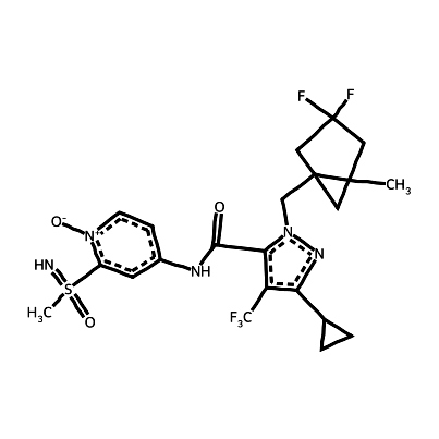 CC12CC(F)(F)CC1(Cn1nc(C3CC3)c(C(F)(F)F)c1C(=O)Nc1cc[n+]([O-])c(S(C)(=N)=O)c1)C2